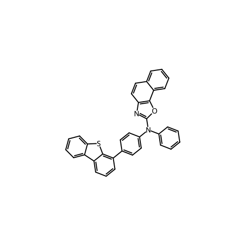 c1ccc(N(c2ccc(-c3cccc4c3sc3ccccc34)cc2)c2nc3ccc4ccccc4c3o2)cc1